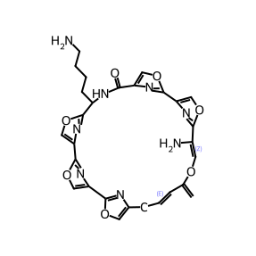 C=C1/C=C/Cc2coc(n2)-c2coc(n2)-c2coc(n2)C(CCCCN)NC(=O)c2coc(n2)-c2coc(n2)/C(N)=C/O1